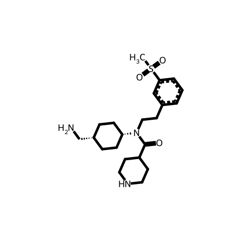 CS(=O)(=O)c1cccc(CCN(C(=O)C2CCNCC2)[C@H]2CC[C@@H](CN)CC2)c1